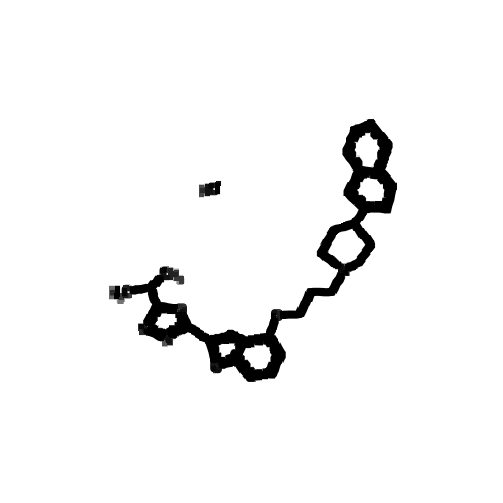 CC(C)c1nnc(-c2cc3c(OCCCN4CCC(c5ccc6ccccc6c5)CC4)cccc3o2)o1.Cl